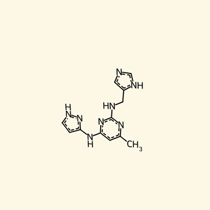 Cc1cc(Nc2cc[nH]n2)nc(NCc2cnc[nH]2)n1